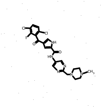 CN1CCN(Cc2ncc(NC(=O)c3cc(C(=O)c4c(Cl)ccc(Cl)c4F)c[nH]3)cn2)CC1